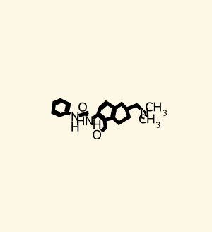 CN(C)CC1CCc2c(ccc(NC(=O)Nc3ccccc3)c2CO)C1